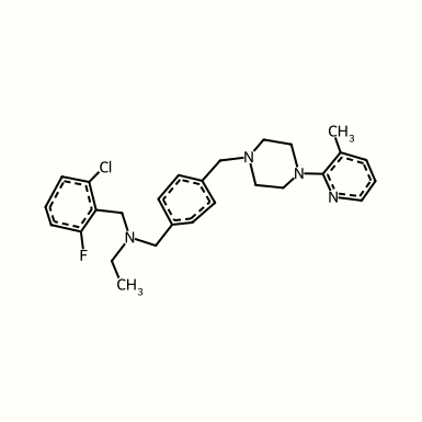 CCN(Cc1ccc(CN2CCN(c3ncccc3C)CC2)cc1)Cc1c(F)cccc1Cl